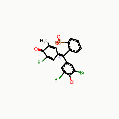 CC1=C/C(=C(/c2cc(Br)c(O)c(Br)c2)c2ccccc2[SH](=O)=O)C=C(Br)C1=O